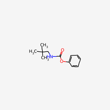 CC(C)(C)CNC(=O)Oc1ccccc1